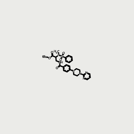 CN(C(CNC(=O)c1ccc(N2CCN(c3ncccn3)CC2)cc1)C(=O)OC(C)(C)C)S(=O)(=O)c1ccccc1